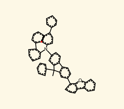 CC1(c2ccccc2)c2cc(-c3cccc4c3oc3ccccc34)ccc2-c2ccc(N(c3ccc(-c4ccccc4)cc3)c3ccccc3-c3ccccc3)cc21